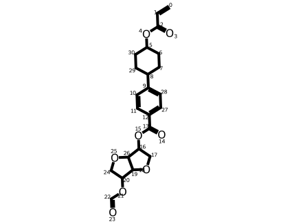 C=CC(=O)OC1CCC(c2ccc(C(=O)OC3COC4C(OC=O)COC34)cc2)CC1